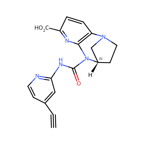 C#Cc1ccnc(NC(=O)N2c3nc(C(=O)O)ccc3N3CC[C@H]2C3)c1